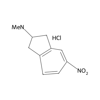 CNC1Cc2ccc([N+](=O)[O-])cc2C1.Cl